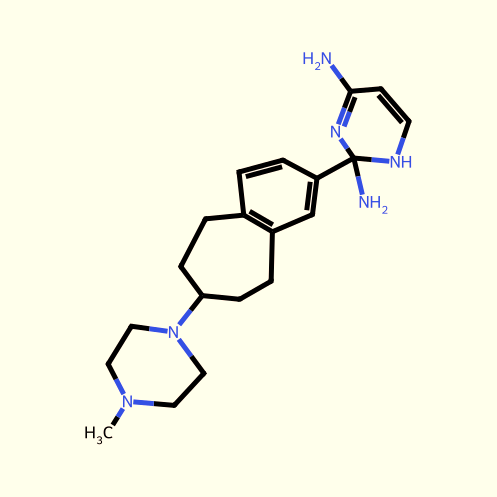 CN1CCN(C2CCc3ccc(C4(N)N=C(N)C=CN4)cc3CC2)CC1